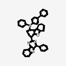 C1=Cc2oc3c(-c4nc(-c5ccccc5)c5sc6ccccc6c5n4)ccc(N(c4ccccc4)c4ccc(-c5ccccc5)cc4)c3c2CC1